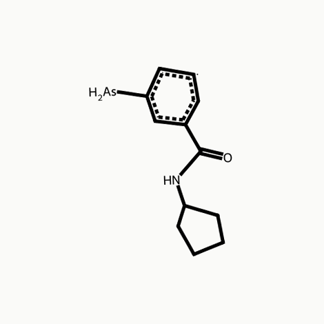 O=C(NC1CCCC1)c1c[c]cc([AsH2])c1